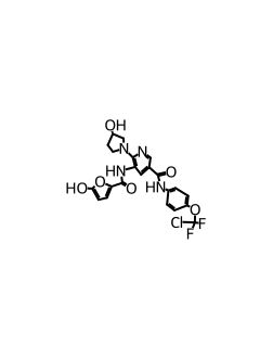 O=C(Nc1ccc(OC(F)(F)Cl)cc1)c1cnc(N2CC[C@@H](O)C2)c(NC(=O)c2ccc(O)o2)c1